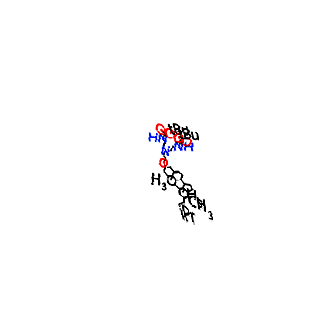 CC(C)CCCC(C)C1CCC2C3CC=C4CC(OCCN(CCNC(=O)OC(C)(C)C)CCNC(=O)OC(C)(C)C)CCC4(C)C3CCC12C